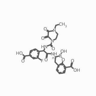 CCN1CCN(C(=O)NC(C(=O)N[C@H]2Cc3cccc(C(=O)O)c3OB2O)c2ccc(C(=O)O)cc2F)C(=O)C1=O